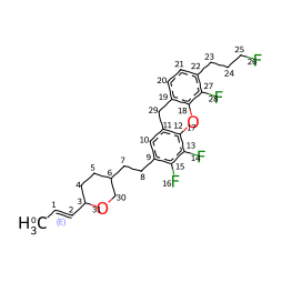 C/C=C/C1CCC(CCc2cc3c(c(F)c2F)Oc2c(ccc(CCCF)c2F)C3)CO1